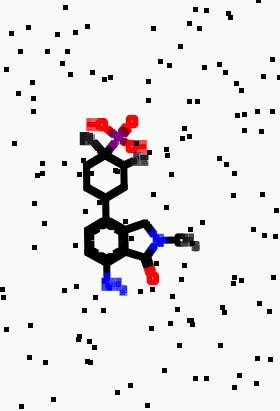 CCC1CC(c2ccc(N)c3c2CN(C)C3=O)CCC1(CC)P(=O)(O)O